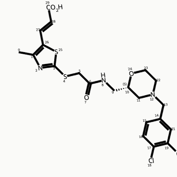 Cc1nc(SCC(=O)NC[C@H]2CN(Cc3ccc(Cl)c(Cl)c3)CCO2)sc1C=CC(=O)O